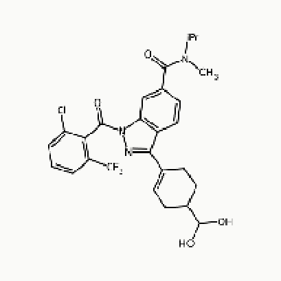 CC(C)N(C)C(=O)c1ccc2c(C3=CCC(C(O)O)CC3)nn(C(=O)c3c(Cl)cccc3C(F)(F)F)c2c1